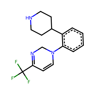 FC(F)(F)C1=NCN(c2ccccc2C2CCNCC2)C=C1